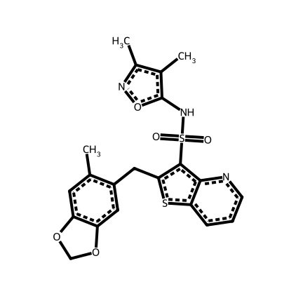 Cc1cc2c(cc1Cc1sc3cccnc3c1S(=O)(=O)Nc1onc(C)c1C)OCO2